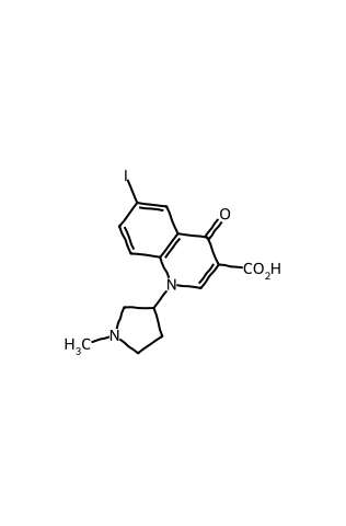 CN1CCC(n2cc(C(=O)O)c(=O)c3cc(I)ccc32)C1